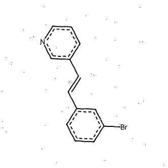 Brc1cccc(/C=C/c2cccnc2)c1